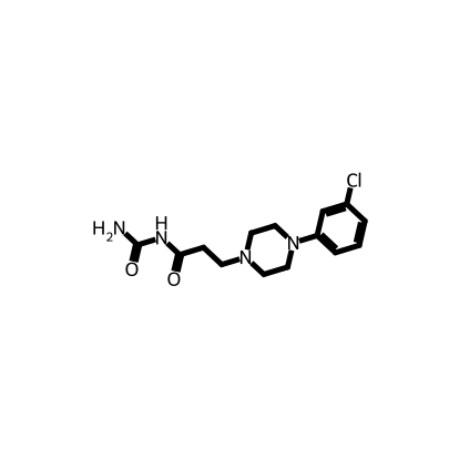 NC(=O)NC(=O)CCN1CCN(c2cccc(Cl)c2)CC1